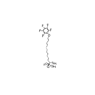 O=P(O)(O)C(S)CCCCCCCCCCCOc1c(F)c(F)c(F)c(F)c1F